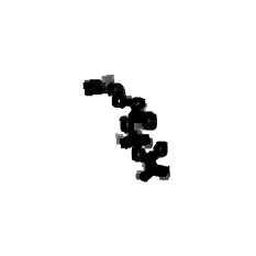 C=C(C)C(=O)OC(C)(C)OC(=O)OOOC(C)(C)C